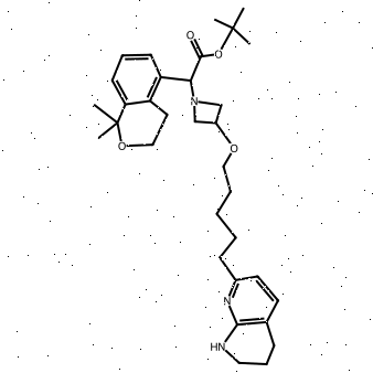 CC(C)(C)OC(=O)C(c1cccc2c1CCOC2(C)C)N1CC(OCCCCCc2ccc3c(n2)NCCC3)C1